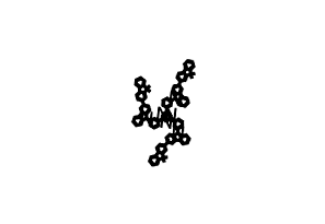 CC1(C)c2ccccc2-c2ccc(-c3ccc4c(c3)c3ccccc3n4-c3cccc(-c4nc(-c5cccc(-n6c7ccccc7c7cc(-c8ccc9c(c8)C(C)(C)c8ccccc8-9)ccc76)c5)nc(-c5cccc(-n6c7ccccc7c7cc(-c8ccc9c(c8)C(C)(C)c8ccccc8-9)ccc76)c5)n4)c3)cc21